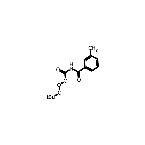 Cc1cccc(C(=O)NC(=O)OOOC(C)(C)C)c1